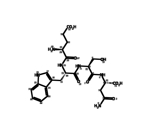 NC(=O)C[C@H](NC(=O)[C@H](CO)NC(=O)[C@H](Cc1c[nH]c2ccccc12)NC(=O)[C@@H](N)CCC(=O)O)C(=O)O